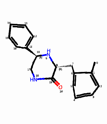 Cc1ccccc1C[C@H]1N[C@H](c2ccccc2)CNC1=O